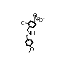 COc1ccc(CNCc2ccc([N+](=O)[O-])cc2Cl)cc1